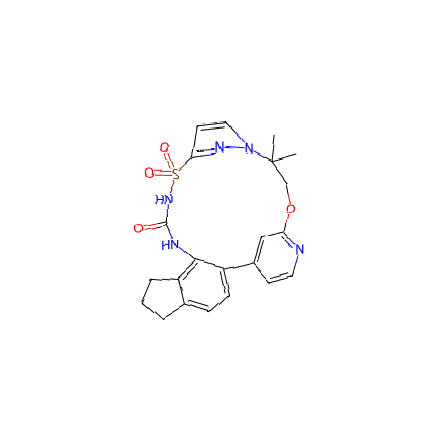 CC1(C)COc2cc(ccn2)-c2ccc3c(c2NC(=O)NS(=O)(=O)c2ccn1n2)CCC3